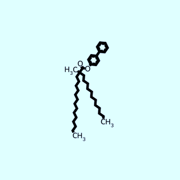 CCCCCCCCCCCCCCC(C)(CCCCCCCCCCCC)C(=O)Oc1ccc(-c2ccccc2)cc1